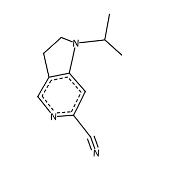 CC(C)N1CCc2cnc(C#N)cc21